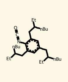 CCCCC(CC)Cc1cc(CC(CC)CCCC)c(N=C=O)c(CC(CC)CCCC)c1